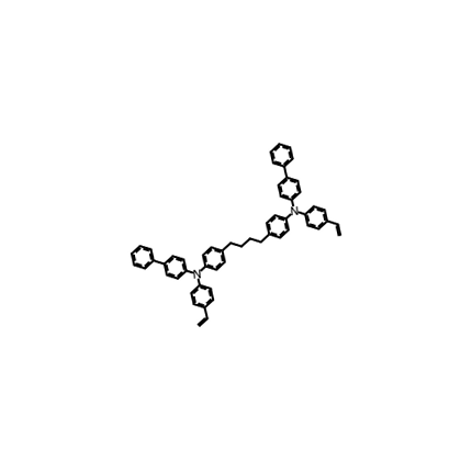 C=Cc1ccc(N(c2ccc(CCCCc3ccc(N(c4ccc(C=C)cc4)c4ccc(-c5ccccc5)cc4)cc3)cc2)c2ccc(-c3ccccc3)cc2)cc1